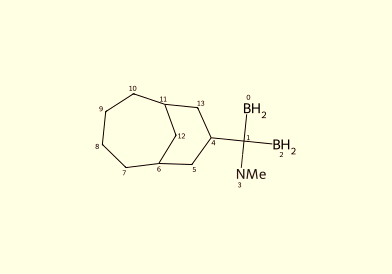 BC(B)(NC)C1CC2CCCCC(C2)C1